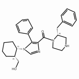 O=C(c1ncn([C@H]2CCCC[C@H]2CO)c1-c1ccccc1)N1CCNC[C@H]1Cc1ccccc1